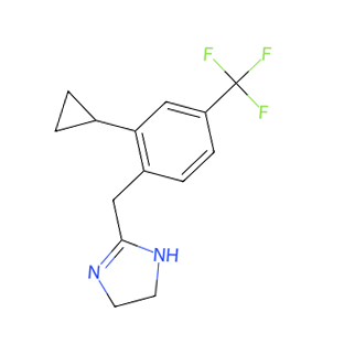 FC(F)(F)c1ccc(CC2=NCCN2)c(C2CC2)c1